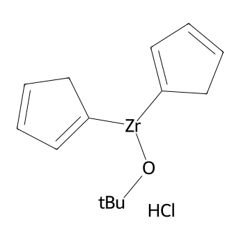 CC(C)(C)[O][Zr]([C]1=CC=CC1)[C]1=CC=CC1.Cl